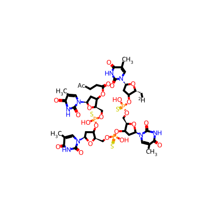 [2H]C[C@H]1O[C@@H](n2cc(C)c(=O)[nH]c2=O)CC1OP(O)(=S)OC[C@H]1O[C@@H](n2cc(C)c(=O)[nH]c2=O)CC1OP(O)(=S)OC[C@H]1O[C@@H](n2cc(C)c(=O)[nH]c2=O)CC1OP(O)(=S)OC[C@H]1O[C@@H](n2cc(C)c(=O)[nH]c2=O)CC1OC(=O)CCC(C)=O